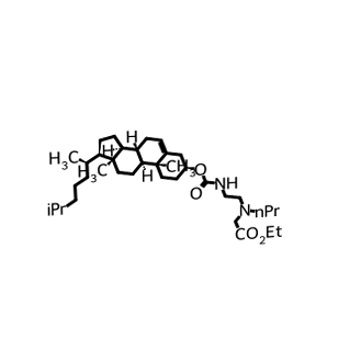 CCCN(CCNC(=O)O[C@H]1CC[C@@]2(C)C(=CC[C@H]3[C@@H]4CC[C@H]([C@H](C)CCCC(C)C)[C@@]4(C)CC[C@@H]32)C1)CC(=O)OCC